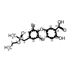 CCOP(C)(=O)Cc1cc(Br)c(Oc2ccc(O)c(C(=O)O)c2)c(Br)c1